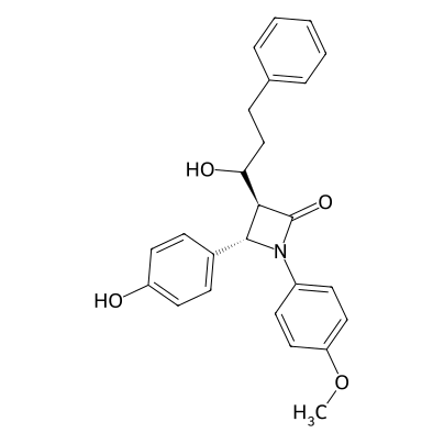 COc1ccc(N2C(=O)[C@H](C(O)CCc3ccccc3)[C@H]2c2ccc(O)cc2)cc1